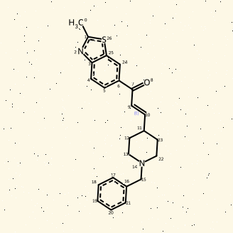 Cc1nc2ccc(C(=O)/C=C/C3CCN(Cc4ccccc4)CC3)cc2s1